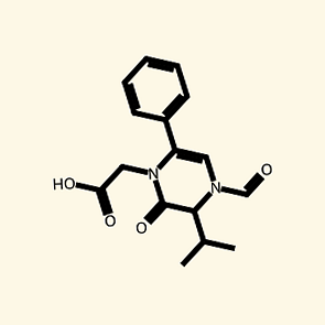 CC(C)C1C(=O)N(CC(=O)O)C(c2ccccc2)=CN1C=O